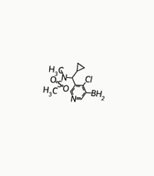 Bc1cncc(C(C2CC2)N(C)S(C)(=O)=O)c1Cl